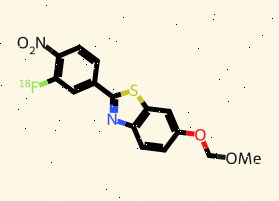 COCOc1ccc2nc(-c3ccc([N+](=O)[O-])c([18F])c3)sc2c1